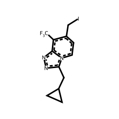 FC(F)(F)c1c(CI)ccn2c(CC3CC3)nnc12